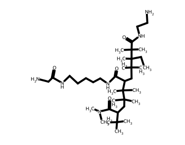 CCC(C)(C(C)(C)CC(C(=O)NCCCCCNC(=O)CN)C(C)(C)C(C)(C)CC(C(=O)N(C)C)C(C)(C)C)C(C)(C)C(=O)NCCN